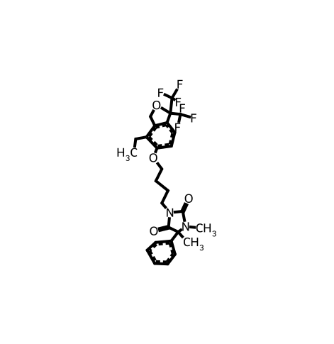 CCc1c(OCCCCN2C(=O)N(C)C(C)(c3ccccc3)C2=O)ccc2c1COC2(C(F)(F)F)C(F)(F)F